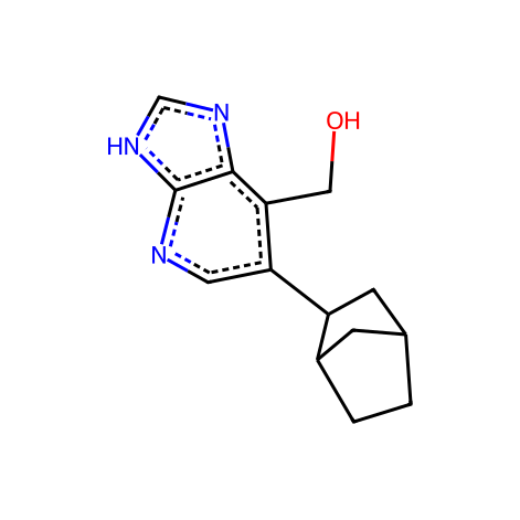 OCc1c(C2CC3CCC2C3)cnc2[nH]cnc12